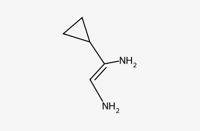 N/C=C(\N)C1CC1